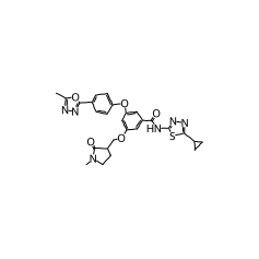 Cc1nnc(-c2ccc(Oc3cc(OCC4CCN(C)C4=O)cc(C(=O)Nc4nnc(C5CC5)s4)c3)cc2)o1